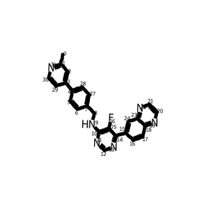 Cc1cc(-c2ccc(CNc3ncnc(-c4ccc5nccnc5c4)c3F)cc2)ccn1